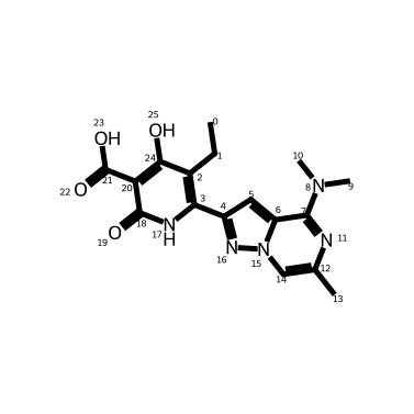 CCc1c(-c2cc3c(N(C)C)nc(C)cn3n2)[nH]c(=O)c(C(=O)O)c1O